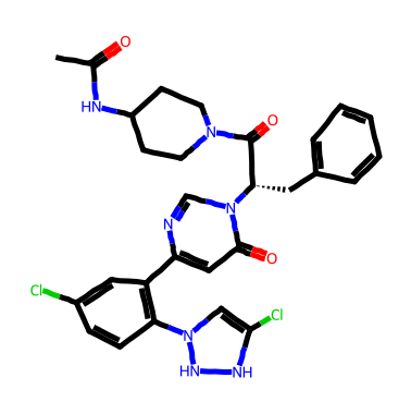 CC(=O)NC1CCN(C(=O)[C@H](Cc2ccccc2)n2cnc(-c3cc(Cl)ccc3N3C=C(Cl)NN3)cc2=O)CC1